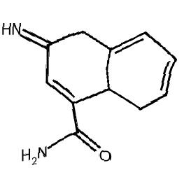 N=C1C=C(C(N)=O)C2CC=CC=C2C1